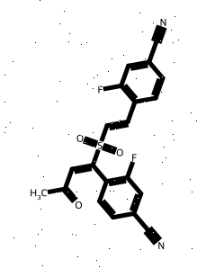 CC(=O)/C=C(\c1ccc(C#N)cc1F)S(=O)(=O)C=Cc1ccc(C#N)cc1F